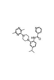 Cc1cnc(C)c(N2CCN(c3cc(C(C)C)ccc3NC(=O)c3cccnc3)CC2)n1